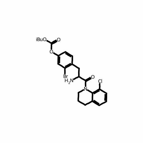 CC(C)COC(=O)Oc1ccc(CC(N)C(=O)N2CCCc3cccc(Cl)c32)c(Br)c1